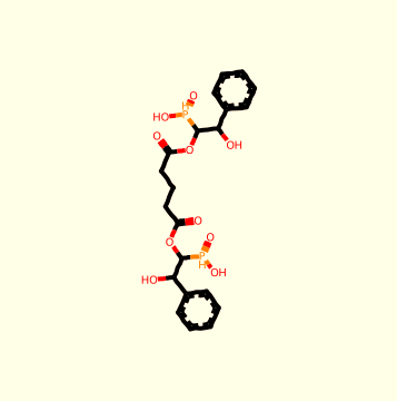 O=C(CCCC(=O)OC(C(O)c1ccccc1)[PH](=O)O)OC(C(O)c1ccccc1)[PH](=O)O